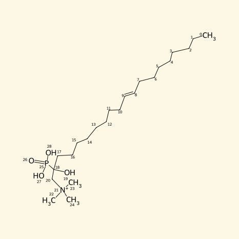 CCCCCCCC/C=C/CCCCCCCCC(O)(C[N+](C)(C)C)P(=O)(O)O